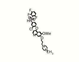 COc1cc2c(Oc3ccc(NS(=O)(=O)c4c(F)ccc(F)c4F)cc3Cl)ccnc2cc1OCCCN1CCN(C)CC1